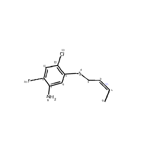 C/C=C\CSc1cc(N)c(F)cc1Cl